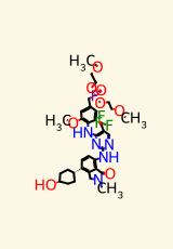 COCCOP(=O)(Cc1ccc(Nc2nc(Nc3ccc([C@H]4CC[C@H](O)CC4)c4c3C(=O)N(C)C4)ncc2C(F)(F)F)c(OC)c1)OCCOC